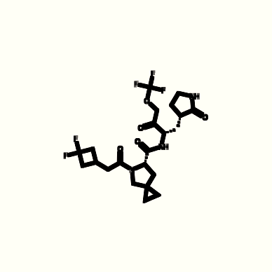 O=C1NCC[C@H]1C[C@H](NC(=O)[C@@H]1CC2(CC2)CN1C(=O)CC1CC(F)(F)C1)C(=O)COC(F)(F)F